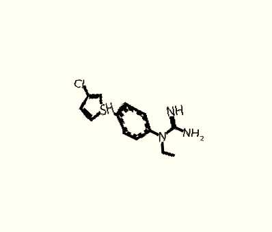 CCN(C(=N)N)c1ccc([SH]2C=CC(Cl)=C2)cc1